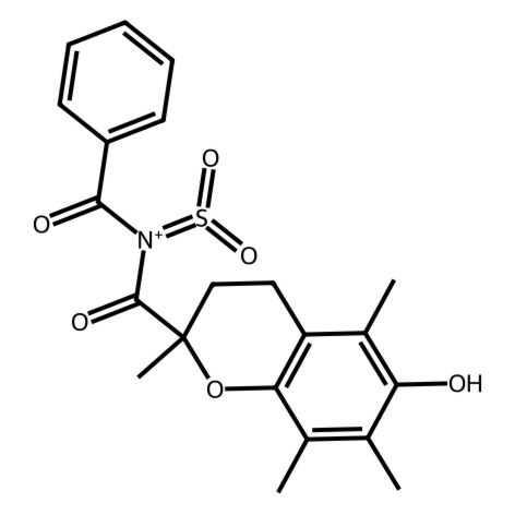 Cc1c(C)c2c(c(C)c1O)CCC(C)(C(=O)[N+](C(=O)c1ccccc1)=S(=O)=O)O2